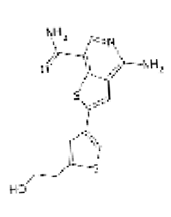 NC(=O)c1cnc(N)c2cc(-c3csc(CCO)c3)sc12